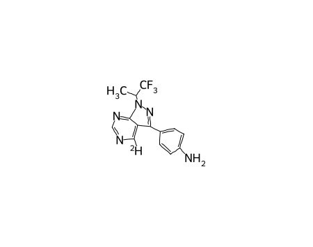 [2H]c1ncnc2c1c(-c1ccc(N)cc1)nn2C(C)C(F)(F)F